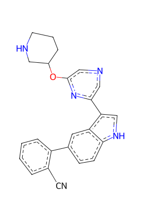 N#Cc1ccccc1-c1ccc2[nH]cc(-c3cncc(OC4CCCNC4)n3)c2c1